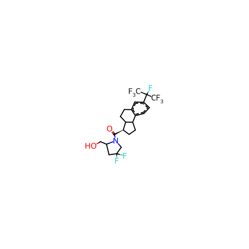 O=C([C@@H]1CCC2c3ccc(C(F)(C(F)(F)F)C(F)(F)F)cc3CCC21)N1CC(F)(F)CC1CO